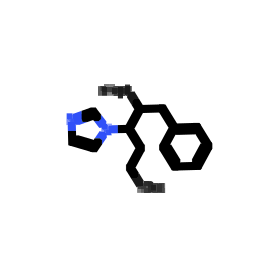 CCCCCCCCCCCCC(C(CCCCCCC)Cc1ccccc1)n1ccnc1